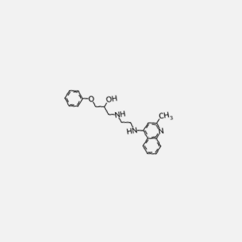 Cc1cc(NCCNCC(O)COc2ccccc2)c2ccccc2n1